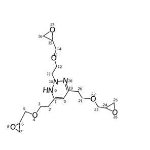 C1=C(CCOCC2CO2)NN(CCOCC2CO2)N=C1CCOCC1CO1